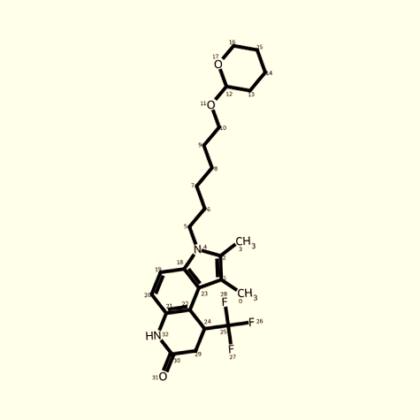 Cc1c(C)n(CCCCCCOC2CCCCO2)c2ccc3c(c12)C(C(F)(F)F)CC(=O)N3